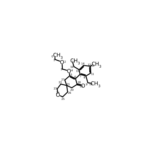 CCOCOC1=C(c2c(CC)cc(C)cc2CC)C(=O)CC2(CCOCC2)C1